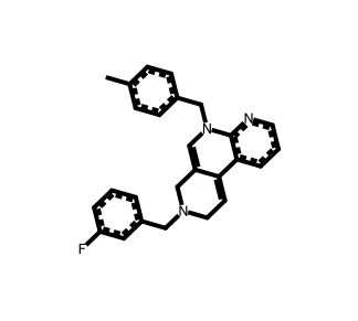 Cc1ccc(CN2C=C3CN(Cc4cccc(F)c4)CC=C3c3cccnc32)cc1